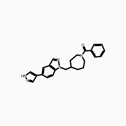 O=C(c1ccccc1)N1CCCC(Cn2ncc3cc(-c4cn[nH]c4)ccc32)CC1